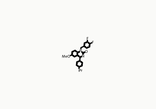 COc1ccc2c(c1)c(-c1ccc(C(C)C)cc1)nc(=O)n2Cc1ccc(F)c(F)c1